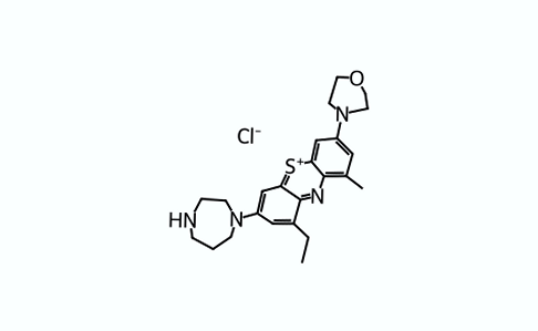 CCc1cc(N2CCCNCC2)cc2[s+]c3cc(N4CCOCC4)cc(C)c3nc12.[Cl-]